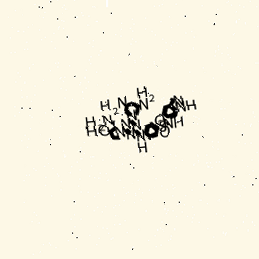 NC[C@@H]1[C@H](O)CCN1c1nc(Nc2ccc(S(=O)(=O)Nc3ccc4cn[nH]c4c3)cc2)nc(N2C[C@H](N)C[C@H](N)C2)n1